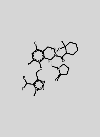 Cn1nnc(COc2c(F)cc(Cl)c3c2[C@@H](CN2CCCC2=O)N(C(=O)C2CCCCC2(C)C(=O)O)CC3)c1C(F)F